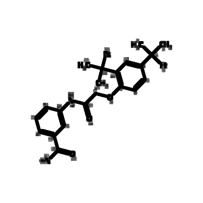 CCC(C)(C)c1ccc(OCC(=O)Nc2cccc(C([NH])=O)c2)c(C(C)(C)CC)c1